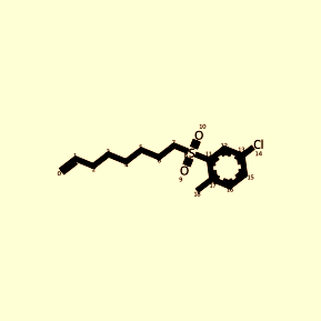 C=CCCCCCCS(=O)(=O)c1cc(Cl)ccc1C